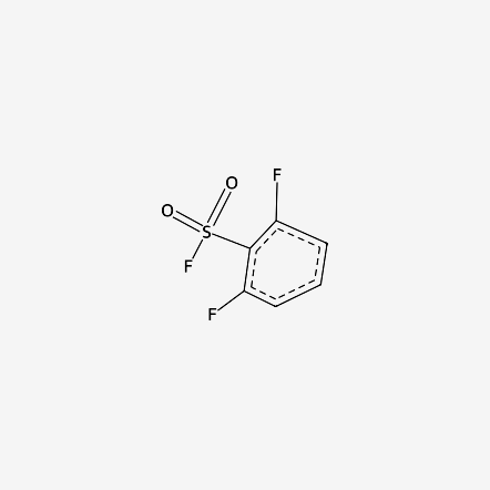 O=S(=O)(F)c1c(F)cccc1F